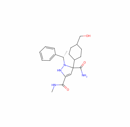 CNC(=O)C1=CC(C(N)=O)(C2CCC(CO)CC2)N([C@@H](C)c2ccccc2)N1